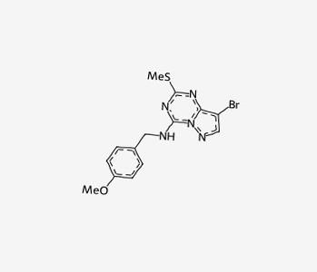 COc1ccc(CNc2nc(SC)nc3c(Br)cnn23)cc1